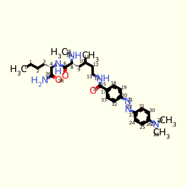 CCCC[C@H](NC(=O)[C@@H](CC(C)CCNC(=O)c1ccc(/N=N/c2ccc(N(C)C)cc2)cc1)NC)C(N)=O